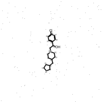 OC(CN1CCC(CC2CCCC2)CC1)c1ccc(Cl)cc1